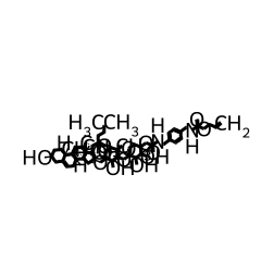 C=CCOC(=O)NCc1ccc(CNC(=O)OC2COC(OC3C(C)COC(O[C@H]4C[C@H]5[C@@H]6CC=C7C[C@@H](O)CC[C@]7(C)C6CC[C@]5(C)[C@@]4(O)[C@H](C)C(=O)CCC(C)C)C3O)C(O)C2O)cc1